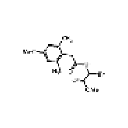 COC(=O)C(NC(=O)Cc1c(C)cc(OC)cc1C)C(C)C